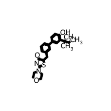 CCC(C)(C)c1cc(-c2cccc(CC3SC(N4CCOCC4)=NC3=O)c2)ccc1O